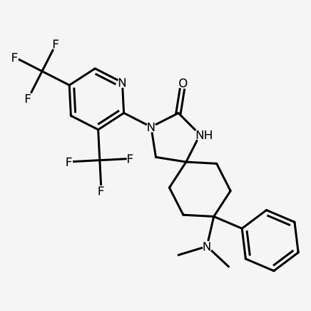 CN(C)C1(c2ccccc2)CCC2(CC1)CN(c1ncc(C(F)(F)F)cc1C(F)(F)F)C(=O)N2